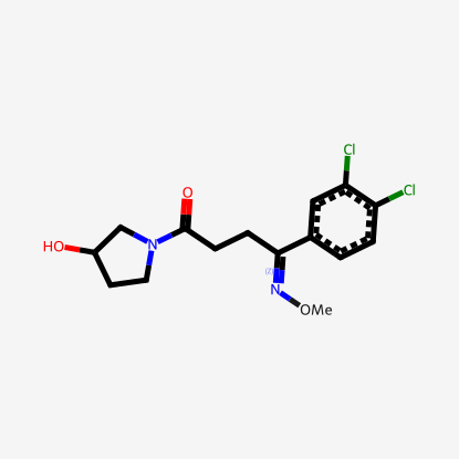 CO/N=C(/CCC(=O)N1CCC(O)C1)c1ccc(Cl)c(Cl)c1